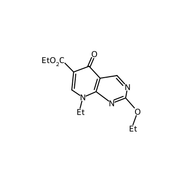 CCOC(=O)c1cn(CC)c2nc(OCC)ncc2c1=O